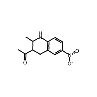 CC(=O)C1Cc2cc([N+](=O)[O-])ccc2NC1C